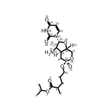 CC(C)OC(=O)C(C)CCCOP1(=O)C[C@@H]2[C@@H](CO1)O[C@@H](n1ccc(=O)[nH]c1=O)[C@]2(C)N